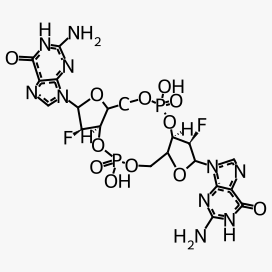 Nc1nc2c(ncn2C2OC3COP(=O)(O)O[C@@H]4C(COP(=O)(O)O[C@H]3[C@H]2F)OC(n2cnc3c(=O)[nH]c(N)nc32)[C@@H]4F)c(=O)[nH]1